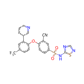 N#Cc1cc(S(=O)(=O)Nc2ncns2)ccc1Oc1ccc(C(F)(F)F)cc1-c1cccnc1